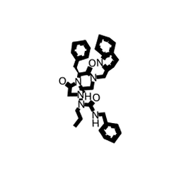 CCCN(C(=O)NCc1ccccc1)N1CC(=O)N2[C@@H](Cc3ccccc3)C(=O)N(Cc3ccc4ccccc4n3)C[C@@H]21